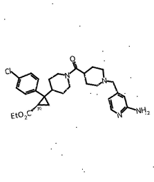 CCOC(=O)[C@@H]1CC1(c1ccc(Cl)cc1)C1CCN(C(=O)C2CCN(Cc3ccnc(N)c3)CC2)CC1